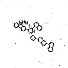 C[Si]1(C)c2ccccc2-c2ccc(-c3nc(-c4cccc(-c5ccc6cc(-c7cccc8ccccc78)ccc6c5)c4)nc(-c4cccc5ccccc45)n3)cc21